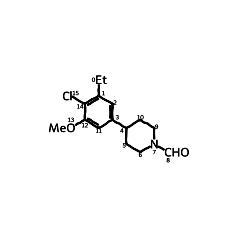 CCc1cc(C2CCN(C=O)CC2)cc(OC)c1Cl